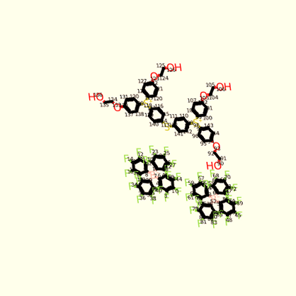 Fc1c(F)c(F)c([B-](c2c(F)c(F)c(F)c(F)c2F)(c2c(F)c(F)c(F)c(F)c2F)c2c(F)c(F)c(F)c(F)c2F)c(F)c1F.Fc1c(F)c(F)c([B-](c2c(F)c(F)c(F)c(F)c2F)(c2c(F)c(F)c(F)c(F)c2F)c2c(F)c(F)c(F)c(F)c2F)c(F)c1F.OCCOc1ccc([S+](c2ccc(OCCO)cc2)c2ccc(Sc3ccc([S+](c4ccc(OCCO)cc4)c4ccc(OCCO)cc4)cc3)cc2)cc1